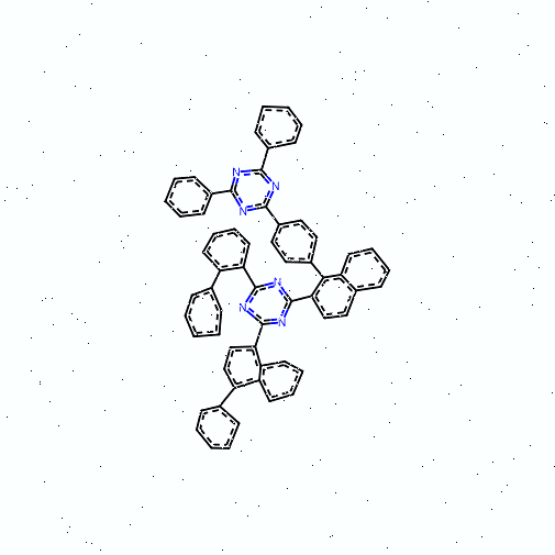 c1ccc(-c2nc(-c3ccccc3)nc(-c3ccc(-c4c(-c5nc(-c6ccccc6-c6ccccc6)nc(-c6ccc(-c7ccccc7)c7ccccc67)n5)ccc5ccccc45)cc3)n2)cc1